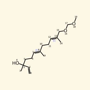 C=CC(C)(O)CC/C=C(\C)CC/C=C(\C)COCOC